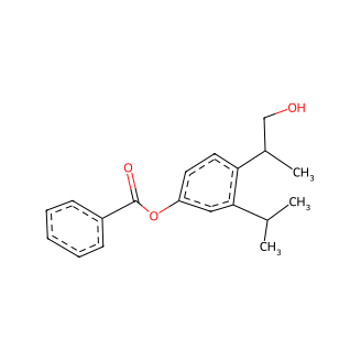 CC(C)c1cc(OC(=O)c2ccccc2)ccc1C(C)CO